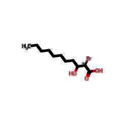 CCCCCCCCC(O)[C@@H](Br)C(=O)O